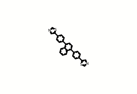 c1ccc2c(-c3ccc(-c4cncs4)cc3)ccc(-c3ccc(-c4cncs4)cc3)c2c1